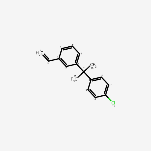 C=Cc1cccc(C(c2ccc(Cl)cc2)(C(F)(F)F)C(F)(F)F)c1